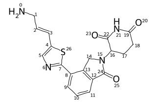 NC/C=C/c1cnc(-c2cccc3c2CN(C2CCC(=O)NC2=O)C3=O)s1